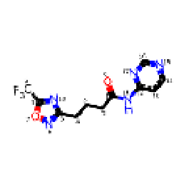 O=C(CCCc1noc(C(F)(F)F)n1)Nc1ccncn1